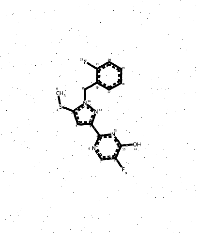 CSc1cc(-c2ncc(F)c(O)n2)nn1Cc1ccccc1F